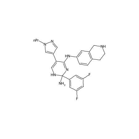 CCCn1cc(C2=CNC(N)(c3cc(F)cc(F)c3)N=C2Nc2ccc3c(c2)CNCC3)cn1